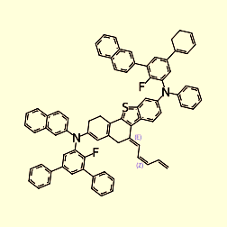 C=C/C=C\C=C1/CC2=C(CCC(N(c3ccc4ccccc4c3)c3cc(-c4ccccc4)cc(-c4ccccc4)c3F)=C2)c2sc3cc(N(c4ccccc4)c4cc(C5=CC=CCC5)cc(-c5ccc6ccccc6c5)c4F)ccc3c21